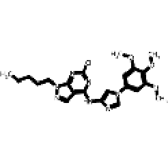 CCCCCn1ncc2c(Nc3cn(-c4cc(OC)c(OC)c(OC)c4)cn3)nc(Cl)nc21